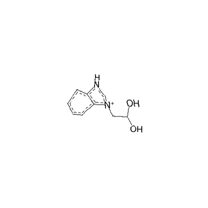 OC(O)C[n+]1c[nH]c2ccccc21